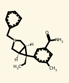 CC[C@]1(c2cc(C)cc(C(N)=O)c2)[C@@H]2CN(Cc3ccccc3)C[C@@H]21